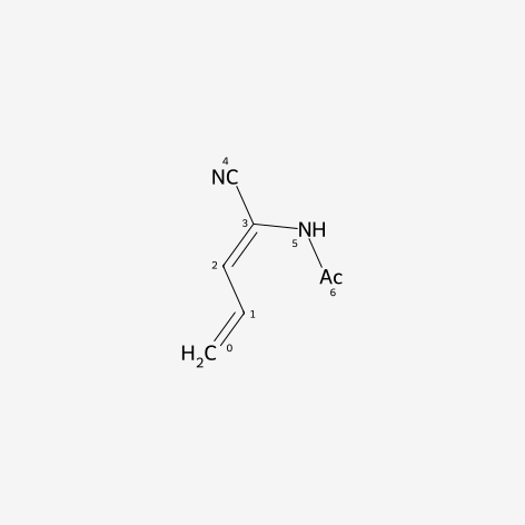 C=CC=C(C#N)NC(C)=O